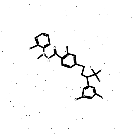 Cc1cc(CCC(c2cc(Cl)cc(Cl)c2)C(F)(F)F)ccc1C(=O)NN(C)c1ccccc1F